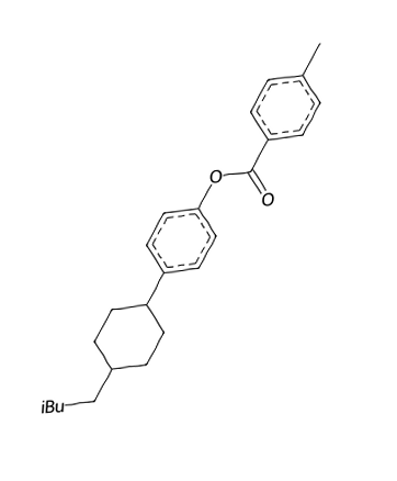 CCC(C)CC1CCC(c2ccc(OC(=O)c3ccc(C)cc3)cc2)CC1